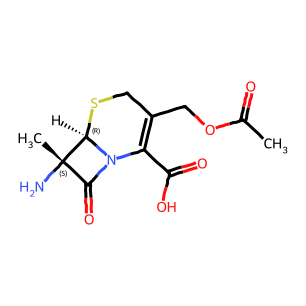 CC(=O)OCC1=C(C(=O)O)N2C(=O)[C@](C)(N)[C@H]2SC1